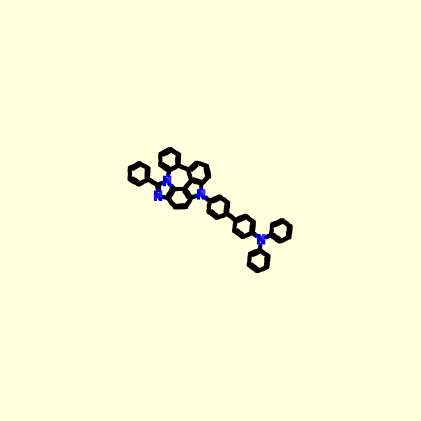 c1ccc(-c2nc3ccc4c5c6c(cccc6n4-c4ccc(-c6ccc(N(c7ccccc7)c7ccccc7)cc6)cc4)c4ccccc4n2c35)cc1